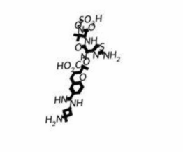 CC1(N)CC(NC(=N)c2ccc3c(c2)CCC(C(C)(ON=C(C(=O)NC2C(=O)N(OS(=O)(=O)O)C2(C)C)c2csc(N)n2)C(=O)O)O3)C1